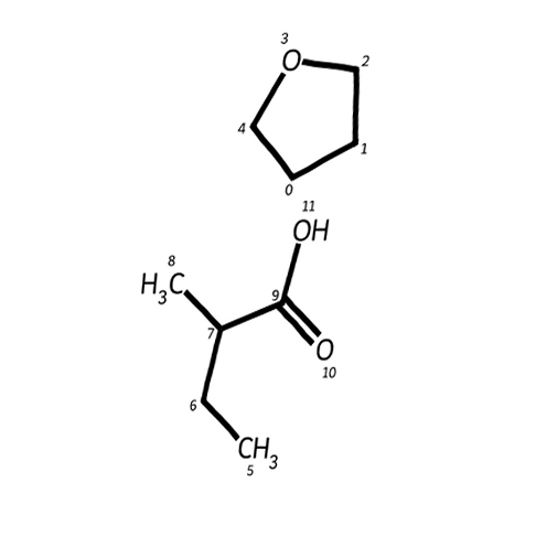 C1CCOC1.CCC(C)C(=O)O